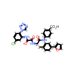 O=C(Nc1cc(Cl)ccc1-n1cnnn1)C(=O)N[C@@H](Cc1ccc(-c2ccco2)cc1)C(=O)Nc1ccc(C(=O)O)cc1